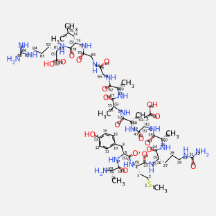 CSCC[C@H](NC(=O)[C@H](Cc1ccc(O)cc1)NC(=O)[C@H](C)N)C(=O)N[C@@H](CCCNC(N)=O)C(=O)N[C@@H](C)C(=O)N[C@@H](CC(=O)O)C(=O)N[C@@H](C)C(=O)N[C@@H](C)C(=O)N[C@@H](C)C(=O)NCC(=O)NCC(=O)N[C@@H](CC(C)C)C(=O)N[C@@H](CCCNC(=N)N)C(=O)O